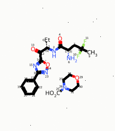 CC[C@H](NC(=O)[C@@H](N)CC(C)(F)F)C(=O)c1nc(-c2ccccc2)no1.O=C(O)N1CCOCC1